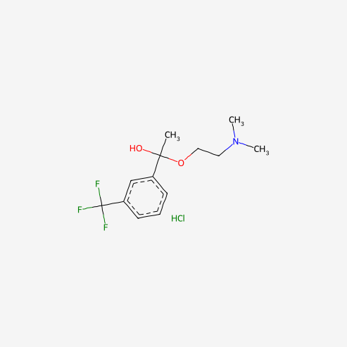 CN(C)CCOC(C)(O)c1cccc(C(F)(F)F)c1.Cl